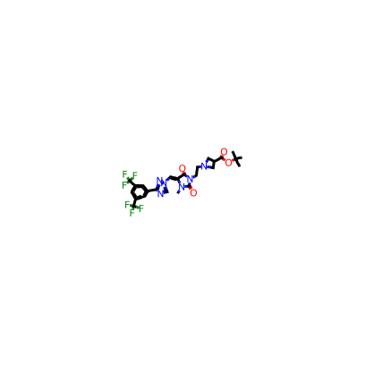 CN1C(=O)N(CCN2CC(C(=O)OC(C)(C)C)C2)C(=O)C1=Cn1cnc(-c2cc(C(F)(F)F)cc(C(F)(F)F)c2)n1